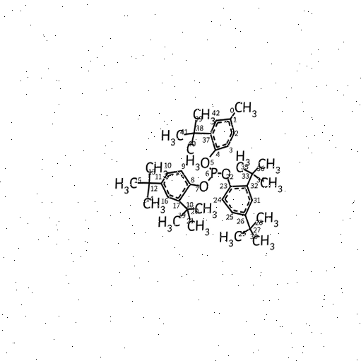 Cc1ccc(OP(Oc2ccc(C(C)(C)C)cc2C(C)(C)C)Oc2ccc(C(C)(C)C)cc2C(C)(C)C)c(C(C)(C)C)c1